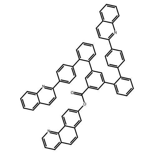 O=C(Oc1ccc2c(ccc3cccnc32)c1)c1cc(-c2ccccc2-c2ccc(-c3ccc4ccccc4n3)cc2)cc(-c2ccccc2-c2ccc(-c3ccc4ccccc4n3)cc2)c1